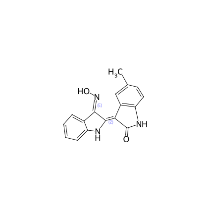 Cc1ccc2c(c1)/C(=C1/Nc3ccccc3/C1=N\O)C(=O)N2